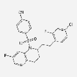 N#Cc1ccc(S(=O)(=O)N2c3cc(F)ccc3CCC2CCc2ccc(Cl)cc2F)cc1